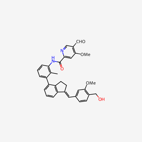 COc1cc(C(=O)Nc2cccc(-c3cccc4c3CCC4=Cc3ccc(CO)c(OC)c3)c2C)ncc1C=O